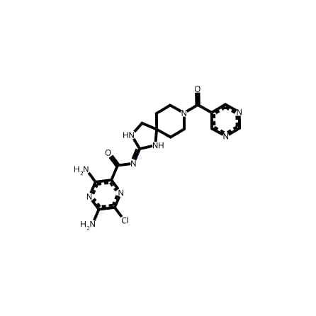 Nc1nc(N)c(C(=O)/N=C2\NCC3(CCN(C(=O)c4cncnc4)CC3)N2)nc1Cl